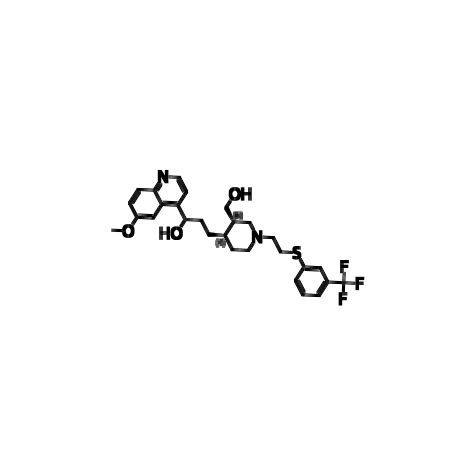 COc1ccc2nccc(C(O)CC[C@@H]3CCN(CCSc4cccc(C(F)(F)F)c4)C[C@@H]3CO)c2c1